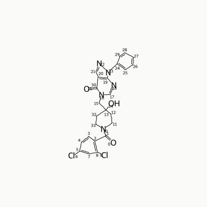 O=C(c1ccc(Cl)cc1Cl)N1CCC(O)(Cn2cnc3c(cnn3-c3ccccc3)c2=O)CC1